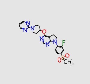 CS(=O)(=O)c1ccc(N2CCc3c(OC4CCN(c5ncccn5)CC4)ncnc32)c(F)c1